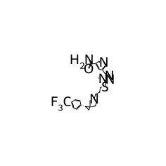 Cn1c(SCCCN2CC[C@]3(C[C@@H]3c3ccc(C(F)(F)F)cc3)C2)nnc1-c1cncc(C(N)=O)c1